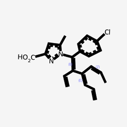 C=C/C=C(\C=C/C)C(/C=C)=C(\c1ccc(Cl)cc1)n1nc(C(=O)O)cc1C